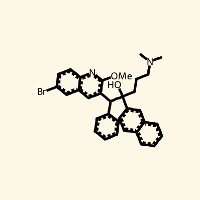 COc1nc2ccc(Br)cc2cc1C(c1ccccc1)C(O)(CCCN(C)C)c1ccc2ccccc2c1